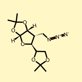 CC1(C)OCC([C@H]2O[C@@H]3OC(C)(C)O[C@@H]3[C@@H]2CN=[N+]=[N-])O1